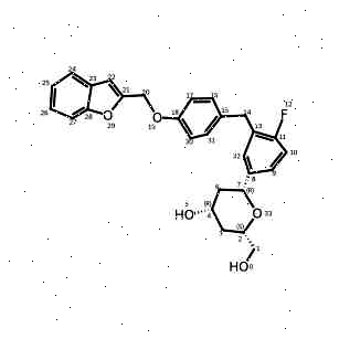 OC[C@@H]1C[C@H](O)C[C@H](c2ccc(F)c(Cc3ccc(OCc4cc5ccccc5o4)cc3)c2)O1